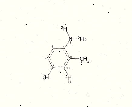 [2H]c1ccc(N([2H])[2H])c(C)c1[2H]